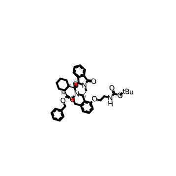 CC(C)(C)OC(=O)NCCOc1cccc2c1[C@@H](CN1C(=O)c3ccccc3C1=O)N(C(=O)[C@@H]1CCCC[C@@H]1C(=O)OCc1ccccc1)CC2